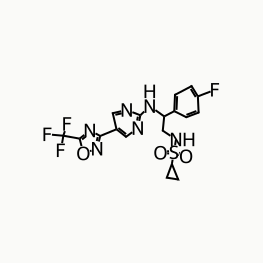 O=S(=O)(NCC(Nc1ncc(-c2noc(C(F)(F)F)n2)cn1)c1ccc(F)cc1)C1CC1